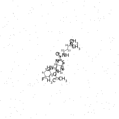 CC(C)OC1=CC(F)CC=C1Nc1ncnc2sc(C(=O)NCCCN(C)C)nc12